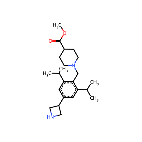 COC(=O)C1CCN(Cc2c(C(C)C)cc(C3CNC3)cc2C(C)C)CC1